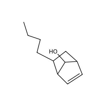 CCCCC1CC2C=CC1C2O